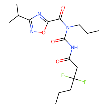 CCCN(C(=O)NC(=O)CC(F)(F)CCC)C(=O)c1nc(C(C)C)no1